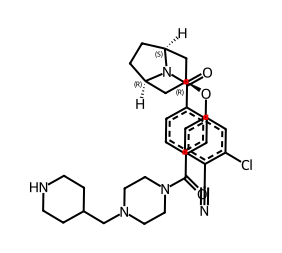 N#Cc1ccc(O[C@H]2C[C@H]3CC[C@@H](C2)N3C(=O)c2ccc(C(=O)N3CCN(CC4CCNCC4)CC3)cc2)cc1Cl